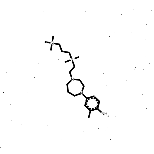 Cc1cc(N2CCCN(CC[N+](C)(C)CCC[Si](C)(C)C)CC2)ccc1N